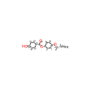 CCCCCC[C@H](C)Oc1ccc(OC(=O)c2ccc(O)cc2)cc1